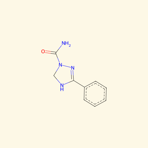 NC(=O)N1CNC(c2ccccc2)=N1